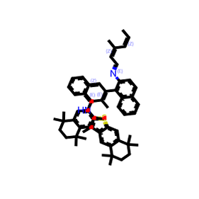 C\C=C/C(C)=C\C=N\c1ccc2ccccc2c1C(/C=c1/cccc/c1=C\Nc1sc2cc3c(cc2c1C)C(C)(C)CCC3(C)C)=C(\C)Cc1cc2c(cc1C)C(C)(C)CCC2(C)C